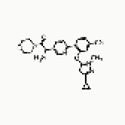 C[N+]1=C(Oc2cc(C#N)ccc2-c2ccc(C(N)C(=O)N3CCOCC3)cn2)CC(C2CC2)=N1